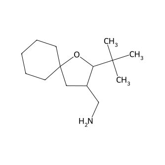 CC(C)(C)C1OC2(CCCCC2)CC1CN